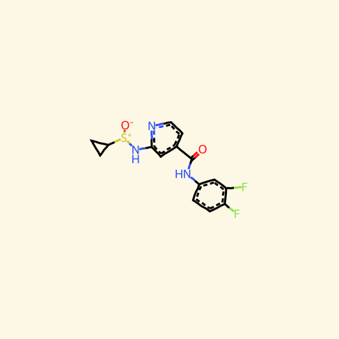 O=C(Nc1ccc(F)c(F)c1)c1ccnc(N[S+]([O-])C2CC2)c1